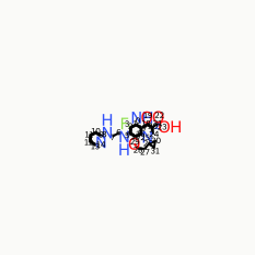 Nc1c(F)c(NCCNc2ccccn2)c2c3c1c(=O)c(C(=O)O)cn3C1(CCO2)CC1